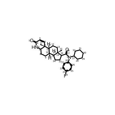 C[C@]12C=CC(=O)NC1CC[C@@H]1[C@H]2CC[C@]2(C)C(C(=O)N(c3ccc(F)cc3)C3CCCCC3)CC[C@@H]12